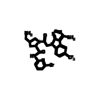 NCC1CC(C(=O)Nc2cccc(Br)n2)N(C(=O)Cn2c3ccc(C(F)(F)F)cc3c3c(N)ncnc32)C1